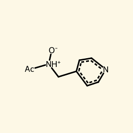 CC(=O)[NH+]([O-])Cc1ccncc1